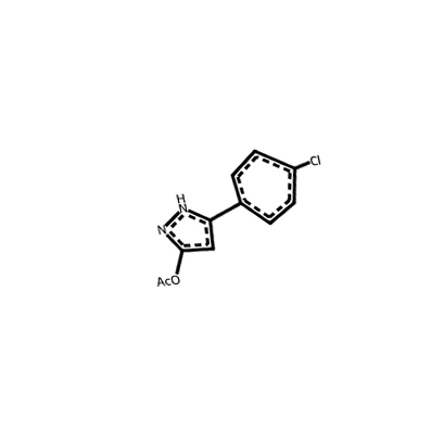 CC(=O)Oc1cc(-c2ccc(Cl)cc2)[nH]n1